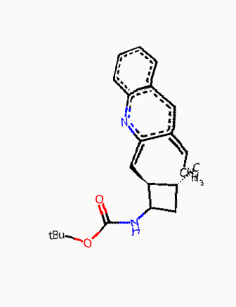 C/C=c1/cc2ccccc2n/c1=C/[C@@H]1C(NC(=O)OC(C)(C)C)C[C@H]1C